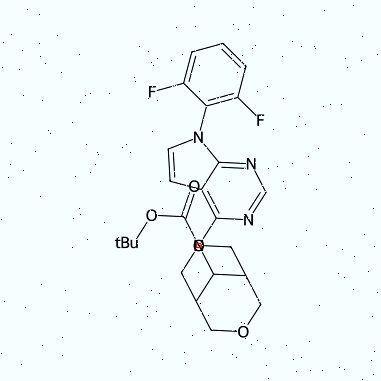 CC(C)(C)OC(=O)N1CC2COCC(C1)C2Oc1ncnc2c1ccn2-c1c(F)cccc1F